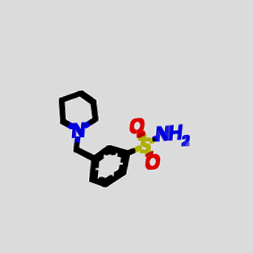 NS(=O)(=O)c1cccc(CN2CCCCC2)c1